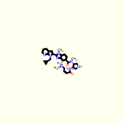 CN(C)C/C=C\C(=O)N[C@@H]1CNC[C@H]1N(C)C(=O)c1ccc2c(c1)nc(-c1cc3cccnc3n1CC1CC1)n2C